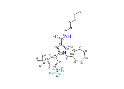 CCCCCCNC(=O)c1cc(-c2cc(C(C)(C)C)cc(C(F)(F)F)c2)n(CC2CCCCCC2)c1C